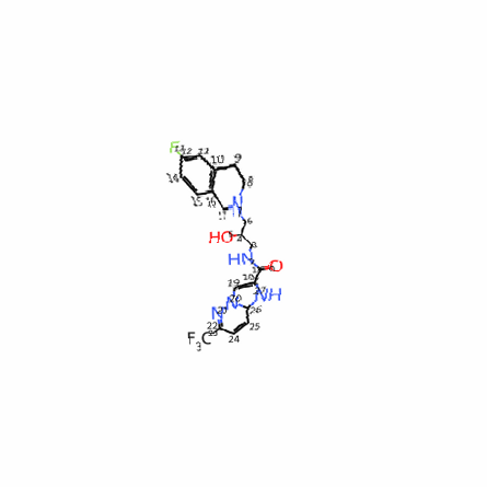 O=C(NCC(O)CN1CCc2cc(F)ccc2C1)C1=CN2N=C(C(F)(F)F)C=CC2N1